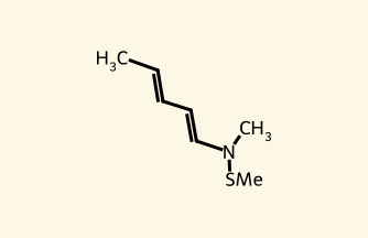 C/C=C/C=C/N(C)SC